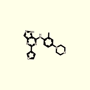 Cc1cc(N2CCOCC2)ccc1Nc1nc(-c2ccoc2)nc2cn[nH]c12